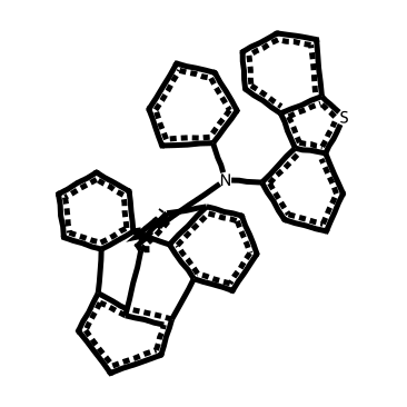 c1ccc(N(c2cccc3c2-c2cccc4c2-c2ccccc2-c2cccc-4c2-3)c2cccc3sc4ccccc4c23)cc1